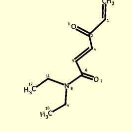 C=CC(=O)C=CC(=O)N(CC)CC